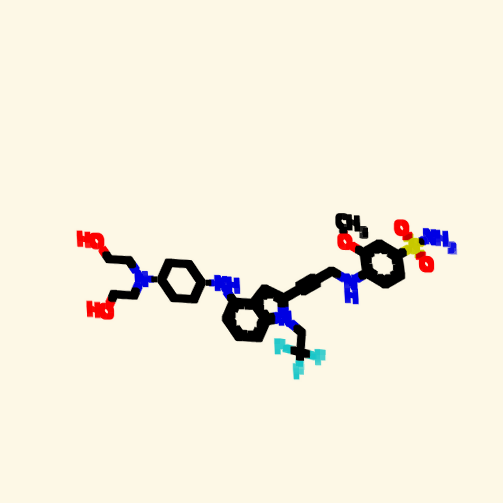 COc1cc(S(N)(=O)=O)ccc1NCC#Cc1cc2c(N[C@H]3CC[C@@H](N(CCO)CCO)CC3)cccc2n1CC(F)(F)F